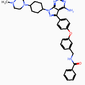 CN1CCN(C2CCC(n3nc(-c4ccc(Oc5cccc(CNC(=O)c6ccccc6)c5)cc4)c4c(N)ncnc43)CC2)CC1